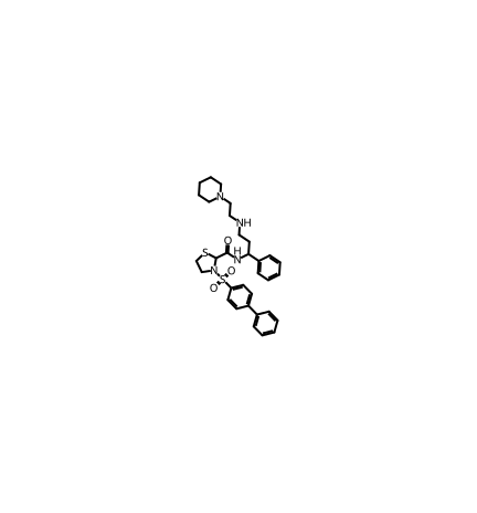 O=C(NC(CCNCCN1CCCCC1)c1ccccc1)C1SCCN1S(=O)(=O)c1ccc(-c2ccccc2)cc1